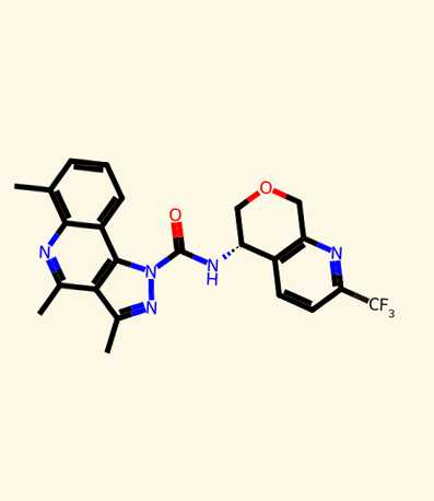 Cc1cccc2c1nc(C)c1c(C)nn(C(=O)N[C@@H]3COCc4nc(C(F)(F)F)ccc43)c12